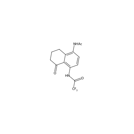 CC(=O)Nc1ccc(NC(=O)C(F)(F)F)c2c1CCCC2=O